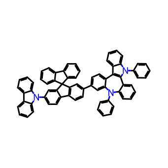 c1ccc(N2c3cc(-c4ccc5c(c4)C4(c6ccccc6-c6ccccc64)c4cc(-n6c7ccccc7c7ccccc76)ccc4-5)ccc3-c3c(n(-c4ccccc4)c4ccccc34)-c3ccccc32)cc1